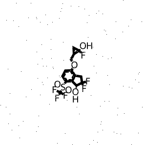 O=S(=O)(c1ccc(OCC2C[C@]2(O)F)c2c1[C@H](O)C(F)(F)C2)C(F)(F)F